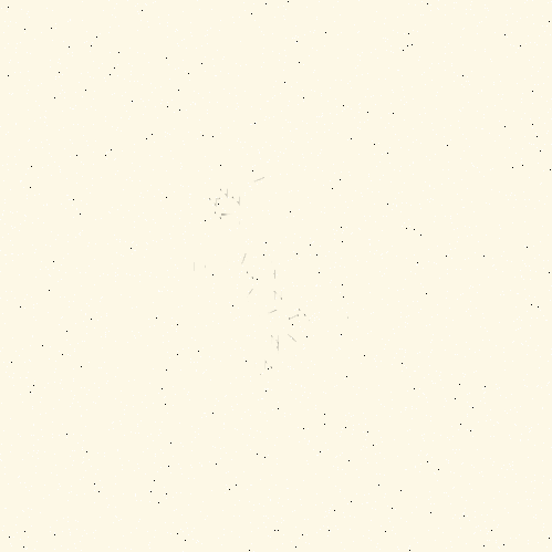 C=CCn1nnnc1SCC1=C(C(=O)O)N2C(=O)C(NC(=O)C(=NOCCCl)c3csc(N)n3)[C@@H]2SC1